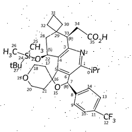 CC(C)c1nc2c(c3c1[C@@H](c1ccc(C(F)(F)F)cc1)OC31CCOCC1)[C@@H](O[Si](C)(C)C(C)(C)C)CC1(CCC1)[C@H]2CC(=O)O